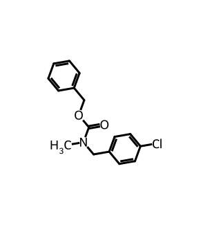 CN(Cc1ccc(Cl)cc1)C(=O)OCc1ccccc1